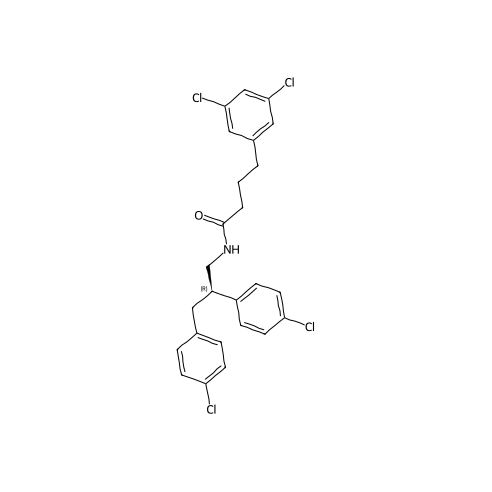 O=C(CCCc1cc(Cl)cc(Cl)c1)NC[C@H](Cc1ccc(Cl)cc1)c1ccc(Cl)cc1